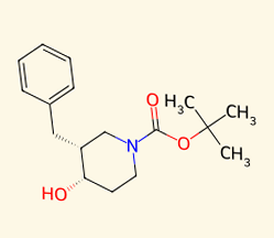 CC(C)(C)OC(=O)N1CC[C@H](O)[C@H](Cc2ccccc2)C1